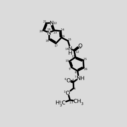 CC(C)OCC(=O)Nc1ccc(C(=O)NCc2ccn3ccnc3c2)cc1